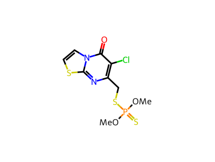 COP(=S)(OC)SCc1nc2sccn2c(=O)c1Cl